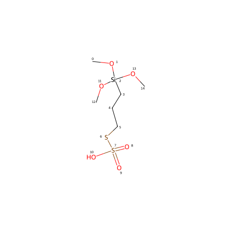 CO[Si](CCCSS(=O)(=O)O)(OC)OC